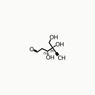 C#C[C@@](O)(CO)[C@@H](O)CC=O